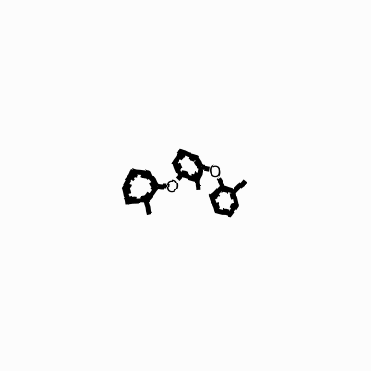 Cc1ccccc1Oc1cccc(Oc2ccccc2C)c1C